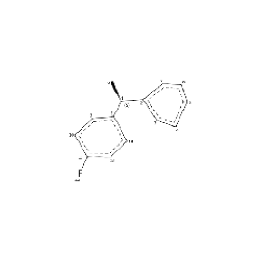 C[C@@H](c1ccccc1)c1ccc(F)cc1